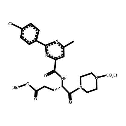 CCOC(=O)N1CCN(C(=O)[C@H](CCC(=O)OC(C)(C)C)NC(=O)c2cc(C)nc(-c3ccc(Cl)cc3)n2)CC1